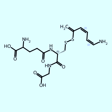 C=C(/C=C\C=C/N)SSC[C@@H](NC(=O)CCC(N)C(=O)O)C(=O)NCC(=O)O